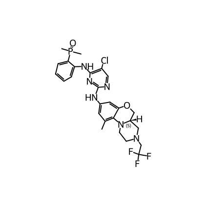 Cc1cc(Nc2ncc(Cl)c(Nc3ccccc3P(C)(C)=O)n2)cc2c1N1CCN(CC(F)(F)F)C[C@H]1CO2